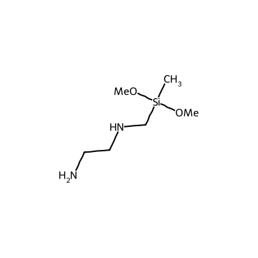 CO[Si](C)(CNCCN)OC